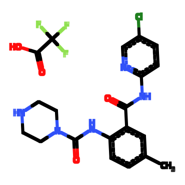 Cc1ccc(NC(=O)N2CCNCC2)c(C(=O)Nc2ccc(Cl)cn2)c1.O=C(O)C(F)(F)F